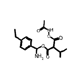 CCc1ccc(C(N)OC(=O)C(C(=O)ONC(C)=O)C(C)C)cc1